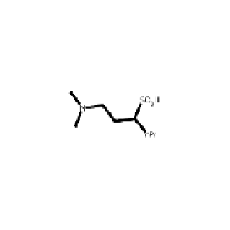 CCCC(CCN(C)C)S(=O)(=O)O